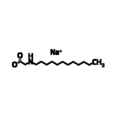 CCCCCCCCCCCCNCC(=O)[O-].[Na+]